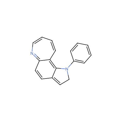 C1=CN=c2ccc3c(c2C=C1)N(c1ccccc1)CC=3